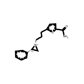 NC(=O)c1ccc(CCC[N@]2C[C@@H]2c2ccccc2)s1